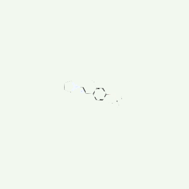 [2H]C([2H])([2H])Oc1ccc(/C=C/N2CCCC2)c([N+](=O)[O-])c1